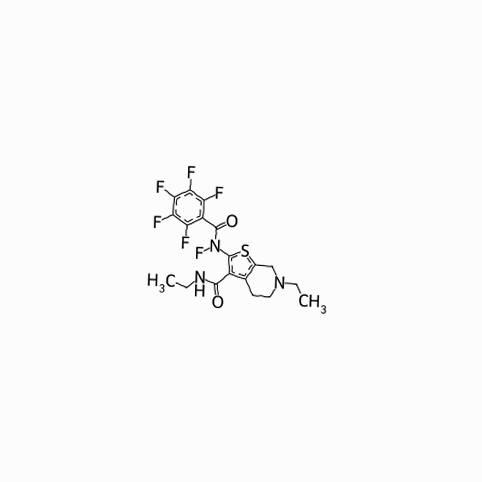 CCNC(=O)c1c(N(F)C(=O)c2c(F)c(F)c(F)c(F)c2F)sc2c1CCN(CC)C2